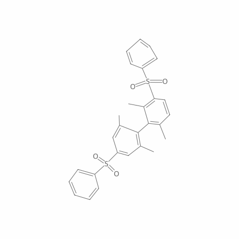 Cc1cc(S(=O)(=O)c2ccccc2)cc(C)c1-c1c(C)ccc(S(=O)(=O)c2ccccc2)c1C